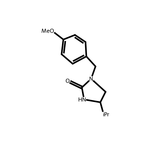 COc1ccc(CN2CC(C(C)C)NC2=O)cc1